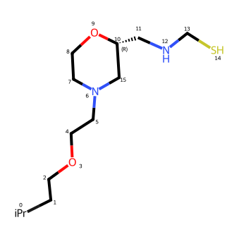 CC(C)CCOCCN1CCO[C@H](CNCS)C1